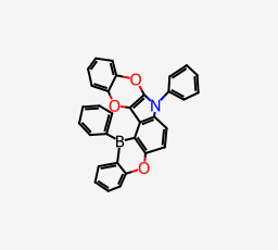 c1ccc(B2c3ccccc3Oc3ccc4c(c5c(n4-c4ccccc4)Oc4ccccc4O5)c32)cc1